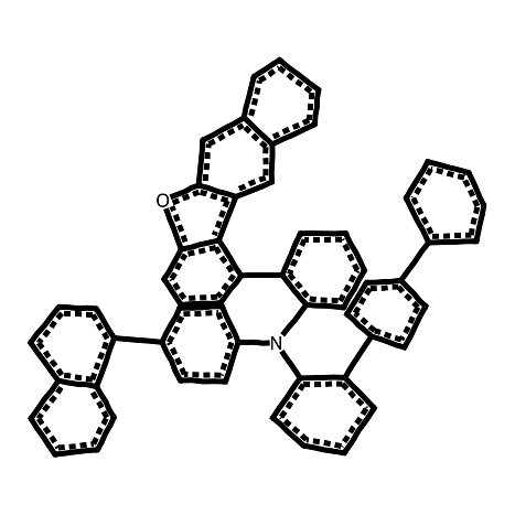 c1ccc(-c2ccc(-c3ccccc3N(c3ccc(-c4cccc5ccccc45)cc3)c3ccccc3-c3cccc4oc5cc6ccccc6cc5c34)cc2)cc1